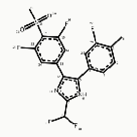 Cc1ccc(-c2[nH]c(C(F)F)nc2-c2cc(F)c(S(C)(=O)=O)c(F)c2)cc1F